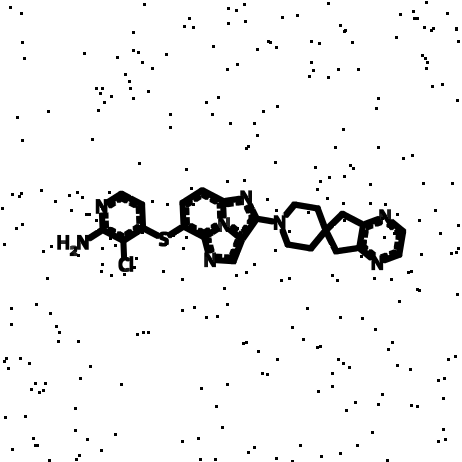 Nc1nccc(Sc2ccc3nc(N4CCC5(CC4)Cc4nccnc4C5)c4cnc2n34)c1Cl